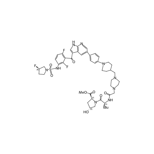 COC(=O)[C@@H]1C[C@@H](O)CN1C(=O)[C@@H](NC(=O)CN1CCN(CC2CCN(c3ccc(-c4cnc5[nH]cc(C(=O)c6c(F)ccc(NS(=O)(=O)N7CC[C@@H](F)C7)c6F)c5c4)cc3)CC2)CC1)C(C)(C)C